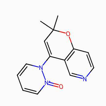 CC1(C)C=C(n2cccc[n+]2=O)c2cnccc2O1